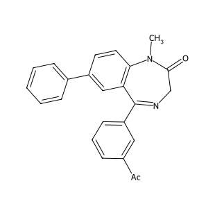 CC(=O)c1cccc(C2=NCC(=O)N(C)c3ccc(-c4ccccc4)cc32)c1